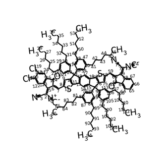 [C-]#[N+]/C(C#N)=C1\C(=C\c2cc3c(s2)-c2cc4c(cc2C3(c2cc(CCCCCC)cc(CCCCCC)c2)c2cc(CCCCCC)cc(CCCCCC)c2)-c2sc(/C=C3\C(=O)c5ccccc5\C3=C(\C#N)[N+]#[C-])cc2C4(c2cc(CCCCCC)cc(CCCCCC)c2)c2cc(CCCCCC)cc(CCCCCC)c2)C(=O)c2cc(Cl)c(Cl)cc21